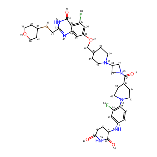 O=C1CCC(Nc2ccc(N3CCC(C(=O)N4CC(N5CCC(COc6cc(F)c7c(=O)[nH]c(CSC8CCOCC8)nc7c6)CC5)C4)CC3)c(F)c2)C(=O)N1